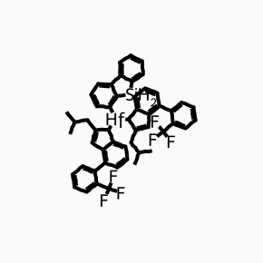 CC(C)CC1=Cc2c(-c3ccccc3C(F)(F)F)cccc2[CH]1[Hf]([c]1cccc2c1[SiH2]c1ccccc1-2)[CH]1C(CC(C)C)=Cc2c(-c3ccccc3C(F)(F)F)cccc21